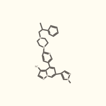 CC(CN1CCN(c2ccc(-c3cc(-c4cnn(C)c4)cn4ncc(C#N)c34)cn2)CC1)c1ccccc1